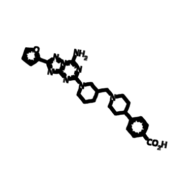 Nc1nc(N2CCCC(CN3CCC(c4ccc(C(=O)O)cc4)CC3)C2)nc2nc(-c3ccco3)nn12